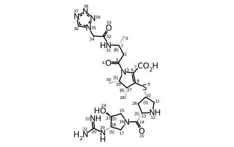 C[C@H](CC(=O)N1C(C(=O)O)=C(S[C@@H]2CN[C@H](C(=O)N3C[C@H](NC(=N)N)[C@@H](O)C3)C2)[C@H](C)[C@@H]1C)NC(=O)Cn1cnnn1